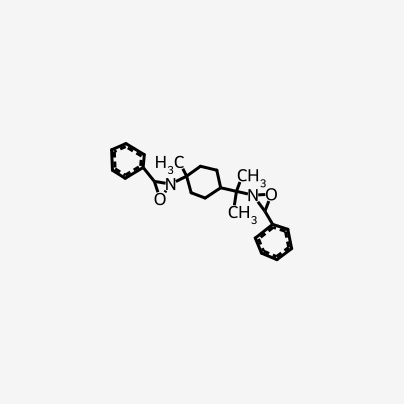 CC1(N2OC2c2ccccc2)CCC(C(C)(C)N2OC2c2ccccc2)CC1